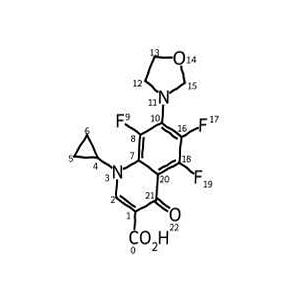 O=C(O)c1cn(C2CC2)c2c(F)c(N3CCOC3)c(F)c(F)c2c1=O